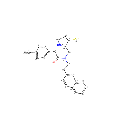 COc1ccc(CC(=O)N(CCc2ccc3ccccc3c2)CC2NCCC2S)cc1